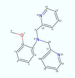 COc1ccccc1N(Cc1ccccn1)Cc1ccccn1